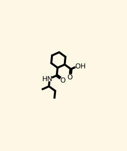 CCC(C)NC(=O)C1CCCCC1C(=O)O